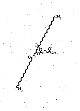 CCCCCCCCCCCCCCCC(=O)OCC(COC(=O)CCCCCCCCCCCCCCC)OC(=O)COCC(=O)O